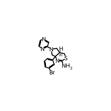 NC1=NC2(c3cccc(Br)c3)CN(c3cnccn3)C[C@H]2CS1